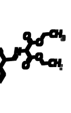 CCOC(=O)C(N=CC(C#N)c1ccccc1)C(=O)OCC